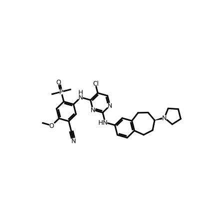 COc1cc(P(C)(C)=O)c(Nc2nc(Nc3ccc4c(c3)CC[C@@H](N3CCCC3)CC4)ncc2Cl)cc1C#N